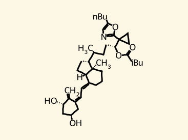 C=C1/C(=C\C=C2/CCC[C@]3(C)[C@@H]([C@H](C)CC[C@@H](OC(=O)C(C)CC)C4(c5ncc(CCCC)o5)CC4)CC[C@@H]23)C[C@@H](O)C[C@@H]1O